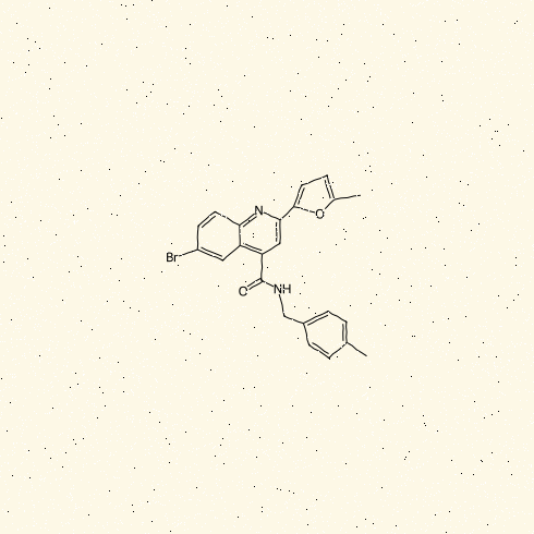 Cc1ccc(CNC(=O)c2cc(-c3ccc(C)o3)nc3ccc(Br)cc23)cc1